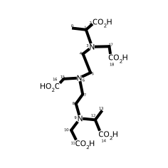 CC(C(=O)O)N(CCN(CCN(CC(=O)O)C(C)C(=O)O)CC(=O)O)CC(=O)O